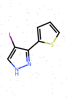 Ic1c[nH]nc1-c1cccs1